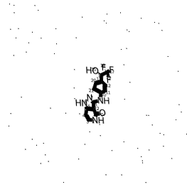 O=c1[nH]ccc2[nH]nc(Nc3ccc([C@H](O)C(F)(F)F)cc3)c12